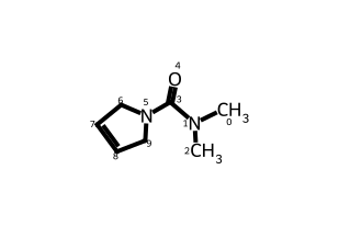 CN(C)C(=O)N1CC=CC1